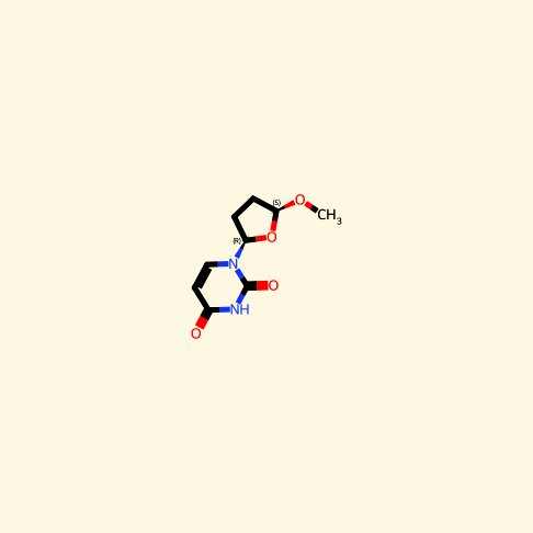 CO[C@@H]1CC[C@H](n2ccc(=O)[nH]c2=O)O1